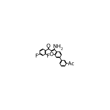 CC(=O)c1cccc(-c2ccc3c(N)c(C(=O)c4ccc(F)cc4F)oc3c2)c1